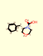 O=C(O)N1CCOC[C@@H]1Cc1ccccc1